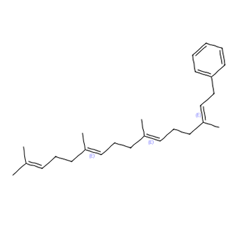 CC(C)=CCC/C(C)=C/CC/C(C)=C/CC/C(C)=C/Cc1ccccc1